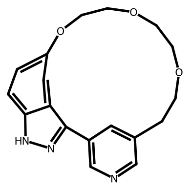 c1ncc2cc1CCOCCOCCOc1ccc3[nH]nc-2c3c1